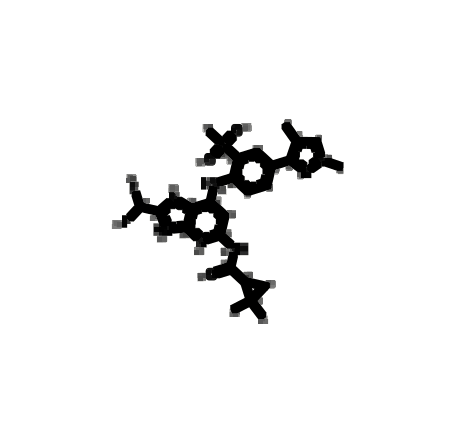 Cc1cn(C)nc1-c1ccc(Nc2cc(NC(=O)C3CC3(C)C)nc3[nH]c(C(F)F)nc23)c(S(C)(=O)=O)c1